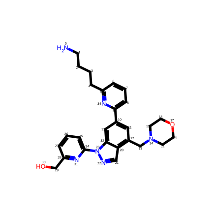 NCCCCc1cccc(-c2cc(CN3CCOCC3)c3cnn(-c4cccc(CO)n4)c3c2)n1